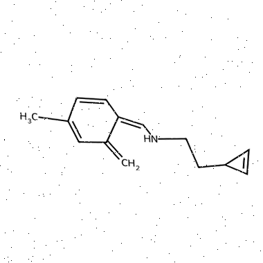 C=c1cc(C)cc/c1=C/NCCC1C=C1